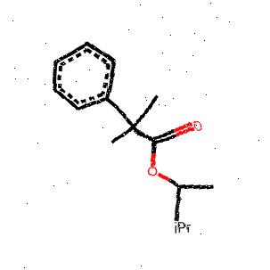 CC(C)C(C)OC(=O)C(C)(C)c1ccccc1